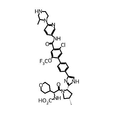 CC1CNCCN1c1ccc(NC(=O)c2cc(OC(F)(F)F)c(-c3ccc(-c4c[nH]c([C@@H]5C[C@H](C)CN5C(=O)[C@@H](NC(=O)O)C5CCOCC5)n4)cc3)cc2Cl)cn1